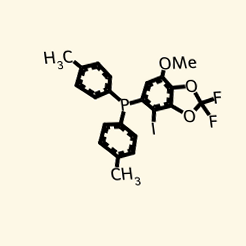 COc1cc(P(c2ccc(C)cc2)c2ccc(C)cc2)c(I)c2c1OC(F)(F)O2